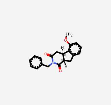 COc1cccc2c1[C@@H]1CC(=O)N(Cc3ccccc3)C(=O)[C@H]1C2